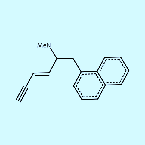 C#CC=CC(Cc1cccc2ccccc12)NC